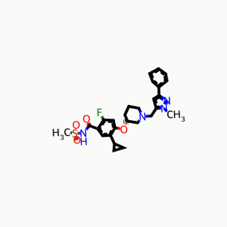 Cn1nc(-c2ccccc2)cc1CN1CCC[C@@H](Oc2cc(F)c(C(=O)NS(C)(=O)=O)cc2C2CC2)C1